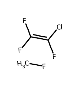 CF.FC(F)=C(F)Cl